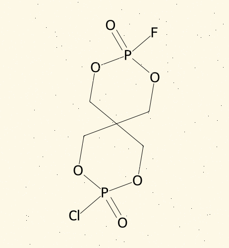 O=P1(F)OCC2(CO1)COP(=O)(Cl)OC2